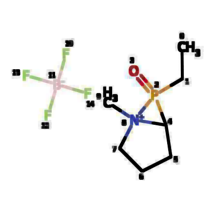 CCP1(=O)C2CCC[N+]21C.F[B-](F)(F)F